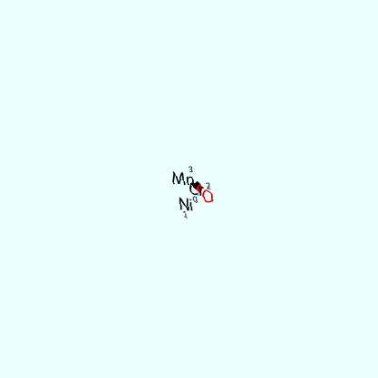 [Cr].[Ni].[O]=[Mn]